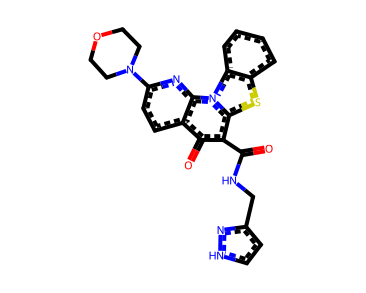 O=C(NCc1cc[nH]n1)c1c(=O)c2ccc(N3CCOCC3)nc2n2c1sc1ccccc12